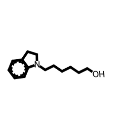 OCCCCCCN1CCc2ccccc21